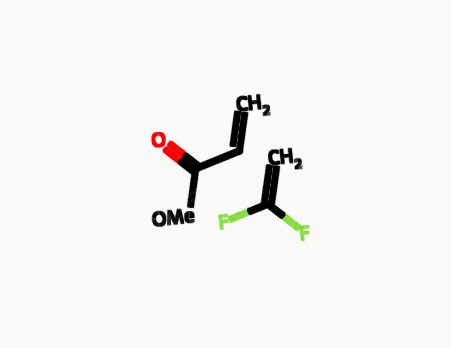 C=C(F)F.C=CC(=O)OC